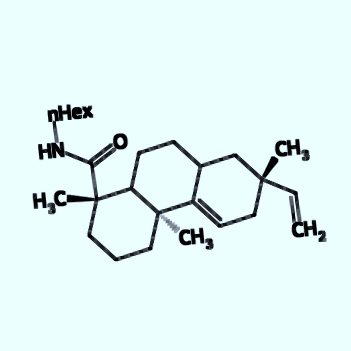 C=C[C@]1(C)CC=C2C(CCC3[C@@](C)(C(=O)NCCCCCC)CCC[C@]23C)C1